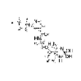 CN1CCN(c2cc(C(=O)NC(C)(C)COc3cccc4c3C(N)=NS(O)(O)N4)ccn2)CC1